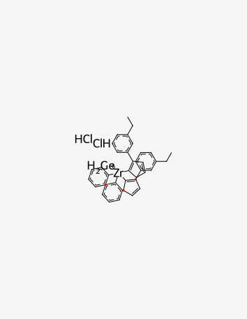 CCc1cccc(C2=[C]([Zr](=[GeH2])([C]3=C(c4cccc(CC)c4)C=CC3)([c]3ccccc3)[c]3ccccc3)CC=C2)c1.Cl.Cl